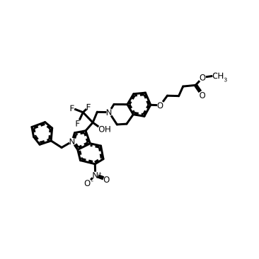 COC(=O)CCCOc1ccc2c(c1)CCN(CC(O)(c1cn(Cc3ccccc3)c3cc([N+](=O)[O-])ccc13)C(F)(F)F)C2